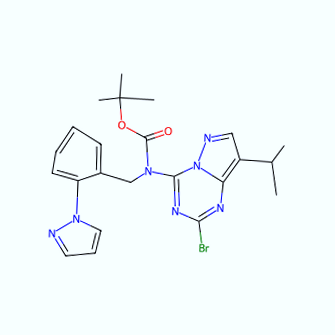 CC(C)c1cnn2c(N(Cc3ccccc3-n3cccn3)C(=O)OC(C)(C)C)nc(Br)nc12